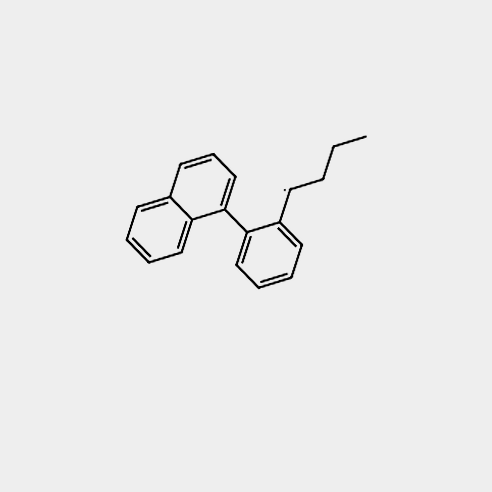 CCC[CH]c1ccccc1-c1cccc2ccccc12